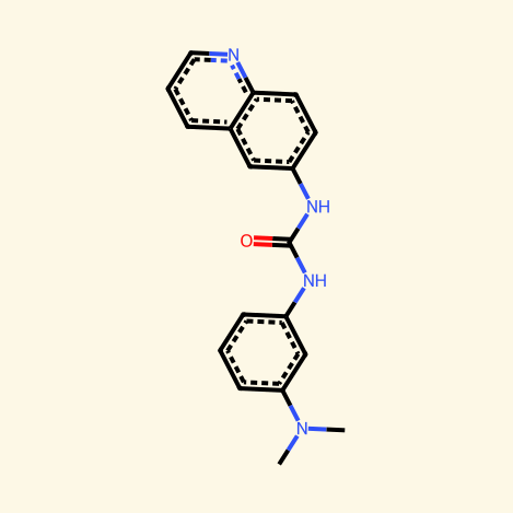 CN(C)c1cccc(NC(=O)Nc2ccc3ncccc3c2)c1